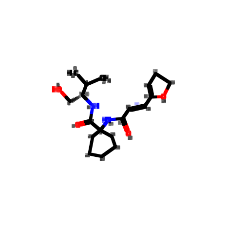 CC(C)[C@@H](CO)NC(=O)C1(NC(=O)/C=C/C2=CCCO2)CCCCC1